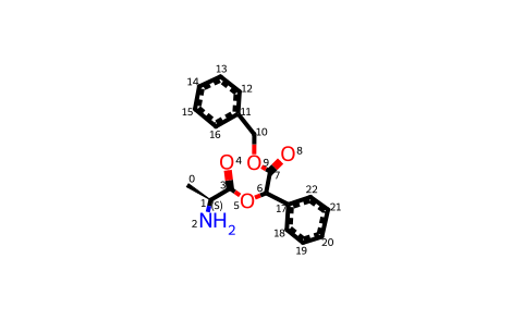 C[C@H](N)C(=O)OC(C(=O)OCc1ccccc1)c1ccccc1